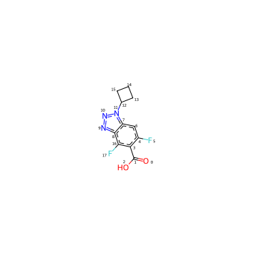 O=C(O)c1c(F)cc2c(nnn2C2CCC2)c1F